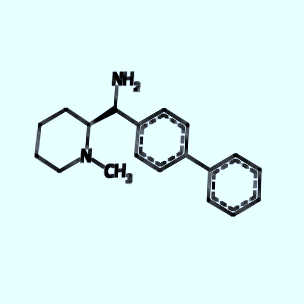 CN1CCCC[C@H]1C(N)c1ccc(-c2ccccc2)cc1